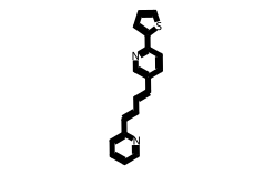 C(C=Cc1ccccn1)=Cc1ccc(-c2cccs2)nc1